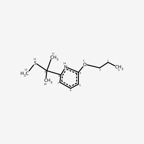 CCCOc1cccc(C(C)(C)SC)n1